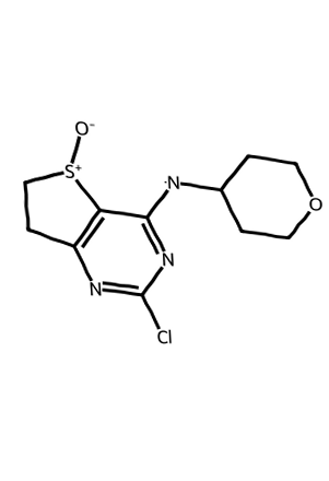 [O-][S+]1CCc2nc(Cl)nc([N]C3CCOCC3)c21